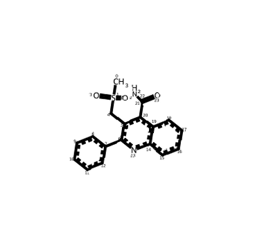 CS(=O)(=O)Cc1c(-c2ccccc2)nc2ccccc2c1C(N)=O